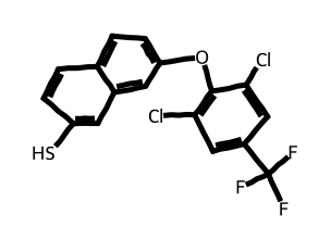 FC(F)(F)c1cc(Cl)c(Oc2ccc3ccc(S)cc3c2)c(Cl)c1